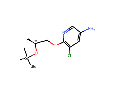 C[C@@H](COc1ncc(N)cc1Cl)O[Si](C)(C)C(C)(C)C